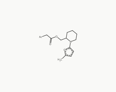 CC(=O)CC(=O)OCC1CCCCN1c1ccc(C)o1